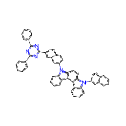 c1ccc(-c2nc(-c3ccccc3)nc(-c3ccc4ccc(-n5c6ccccc6c6c7c8ccccc8n(-c8ccc9ccccc9c8)c7ccc65)cc4c3)n2)cc1